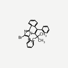 CC(C)(C)c1c(-c2ccccc2)c2ccccc2c2nc(Br)c(-c3ccccc3)n12